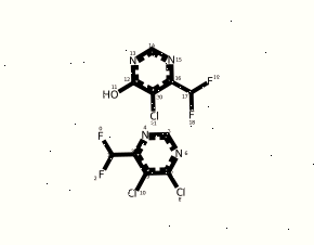 FC(F)c1ncnc(Cl)c1Cl.Oc1ncnc(C(F)F)c1Cl